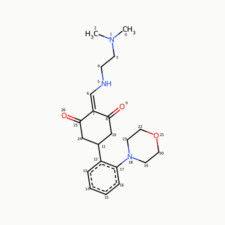 CN(C)CCNC=C1C(=O)CC(c2ccccc2N2CCOCC2)CC1=O